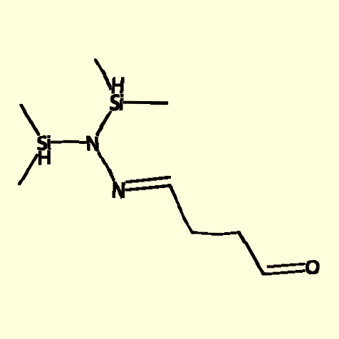 C[SiH](C)N(N=CCCC=O)[SiH](C)C